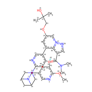 COc1ncc(CN2C3CC2CN(c2ccc(-c4cc(OCC(C)(C)O)cn5ncc(C(=O)N(C)C)c45)cn2)C3)cc1F